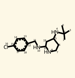 CC(C)(C)NC1CCNC(NCc2ccc(Cl)cc2)C1